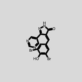 O=C1NN=C(c2cncnc2)/C1=C\c1cc(Br)c(O)c(Br)c1